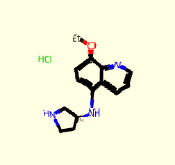 CCOc1ccc(N[C@H]2CCNC2)c2cccnc12.Cl